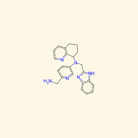 NCc1ccc(N(Cc2nc3ccccc3[nH]2)C2CCCc3cccnc32)cn1